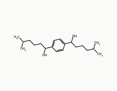 CN(C)CCCC(O)c1ccc(C(O)CCCN(C)C)cc1